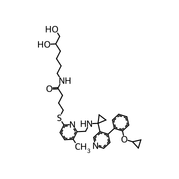 Cc1ccc(SCCCC(=O)NCCCCC(O)CO)nc1CNC1(c2cnccc2-c2ccccc2OC2CC2)CC1